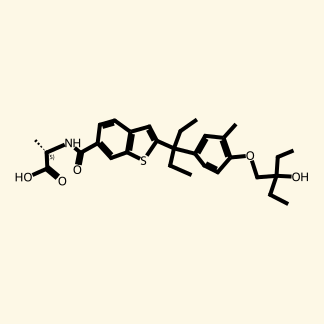 CCC(O)(CC)COc1ccc(C(CC)(CC)c2cc3ccc(C(=O)N[C@@H](C)C(=O)O)cc3s2)cc1C